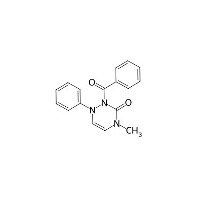 CN1C=CN(c2ccccc2)N(C(=O)c2ccccc2)C1=O